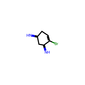 N=C1CC=C(Br)C(=N)C1